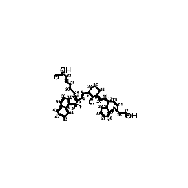 CC1(C)C(/C=C/C2=C(Cl)C(=C/C=C3/C=CN(CCO)c4ccccc43)/CCC2)=[N+](CCCCCC(=O)O)c2ccc3ccccc3c21